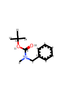 CN(Cc1ccccc1)C(=O)OC(C)(C)C